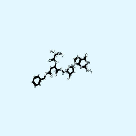 CC(C)[C@H](N)C(=O)OC(CC(=O)OCc1ccccc1)C(=O)OC[C@H]1O[C@@H](n2cnc3c(=O)[nH]c(N)nc32)CC1F